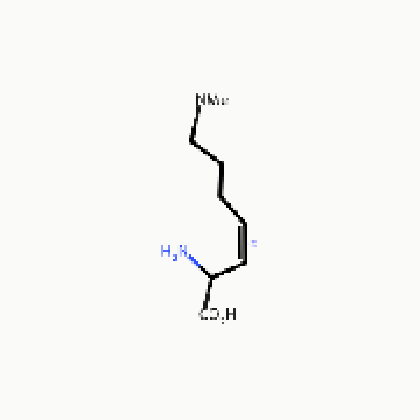 CNCCC/C=C\C(N)C(=O)O